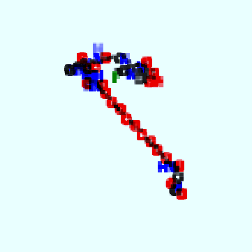 CCC1(O)C(=O)OCc2c1cc1n(c2=O)Cc2c-1nc1cc(F)c(C)cc1c2CN1CCC(CCOCNC(=O)CNC(=O)[C@H](Cc2ccccc2)NC(=O)CNC(=O)CNC(=O)COCCOCCOCCOCCOCCOCCOCCOCCOCCNC(=O)C2CCC(CN3C(=O)C=CC3=O)CC2)CC1